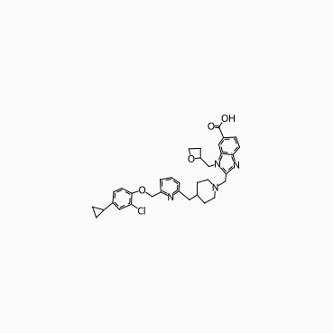 O=C(O)c1ccc2nc(CN3CCC(Cc4cccc(COc5ccc(C6CC6)cc5Cl)n4)CC3)n(CC3CCO3)c2c1